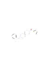 CC(C)COc1ccccc1CN1CCC2(CC1)CCN(C(=O)c1ccc(Cl)s1)CC2